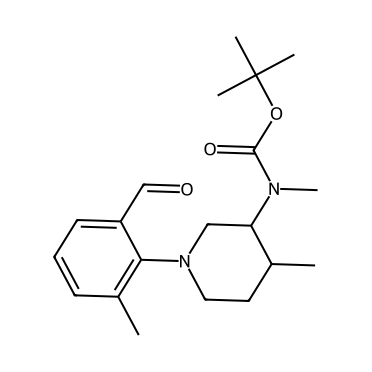 Cc1cccc(C=O)c1N1CCC(C)C(N(C)C(=O)OC(C)(C)C)C1